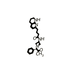 CC(=O)[C@@H](c1ccccc1)N1CC(NC(=O)CCCc2ccc3c(n2)NCCC3)C1